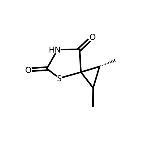 CC1[C@@H](C)C12SC(=O)NC2=O